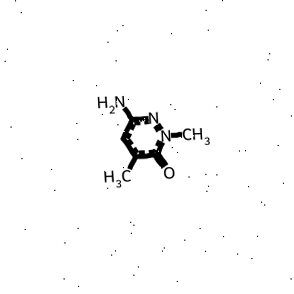 Cc1cc(N)nn(C)c1=O